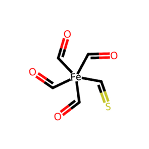 O=[CH][Fe]([CH]=O)([CH]=O)([CH]=O)[CH]=S